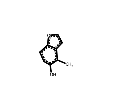 Cc1c(O)ccc2occc12